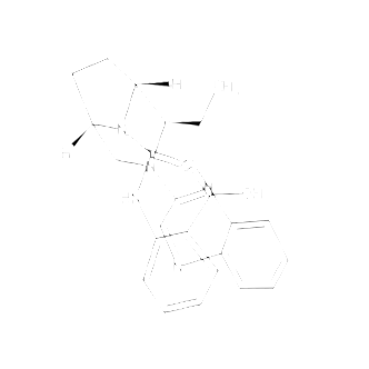 CC[C@@H]1[C@H]2CC[C@@H](CN1c1cnc3ccccc3n1)N2C(=O)Nc1ccccc1C(=O)O